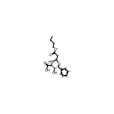 CCCCOC(=O)CC(N[C@@H](CO)C(=O)O)OCc1ccccc1